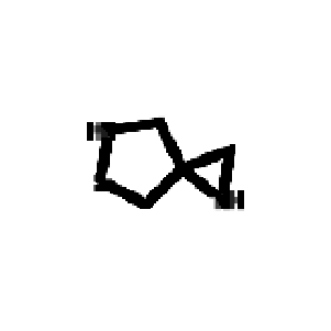 C1NSCC12CN2